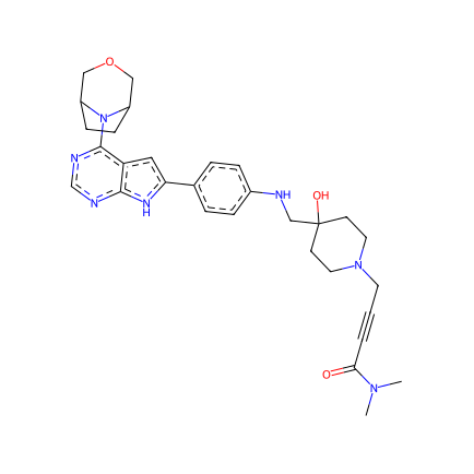 CN(C)C(=O)C#CCN1CCC(O)(CNc2ccc(-c3cc4c(N5C6CCC5COC6)ncnc4[nH]3)cc2)CC1